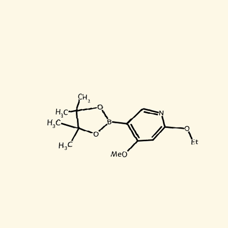 CCOc1cc(OC)c(B2OC(C)(C)C(C)(C)O2)cn1